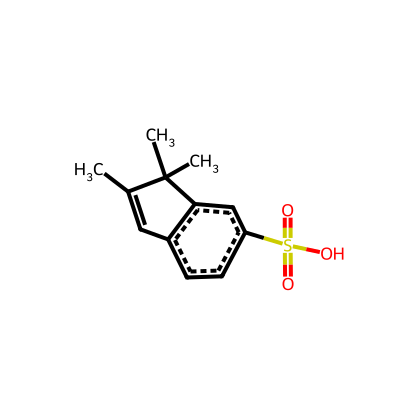 CC1=Cc2ccc(S(=O)(=O)O)cc2C1(C)C